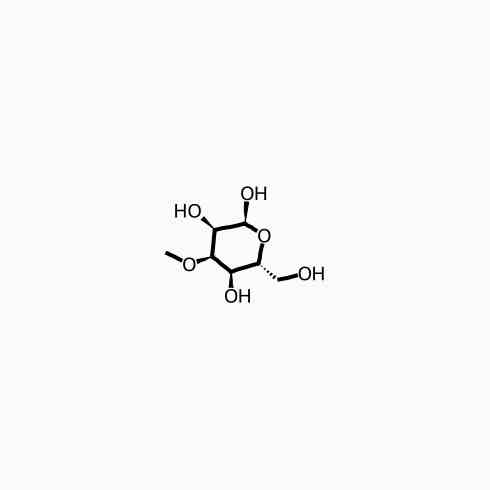 CO[C@H]1[C@@H](O)[C@@H](O)O[C@H](CO)[C@H]1O